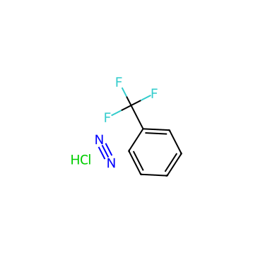 Cl.FC(F)(F)c1ccccc1.N#N